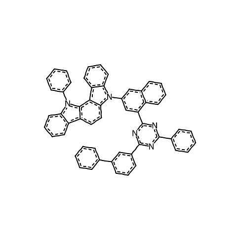 c1ccc(-c2cccc(-c3nc(-c4ccccc4)nc(-c4cc(-n5c6ccccc6c6c5ccc5c7ccccc7n(-c7ccccc7)c56)cc5ccccc45)n3)c2)cc1